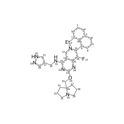 CCc1cccc2cccc(-c3ncc4c(NCc5cn[nH]c5)nc(OCC56CCCN5CCC6)nc4c3F)c12